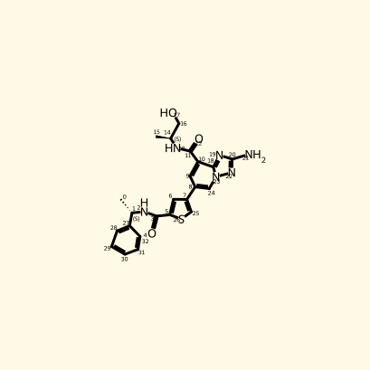 C[C@H](NC(=O)c1cc(-c2cc(C(=O)N[C@@H](C)CO)c3nc(N)nn3c2)cs1)c1ccccc1